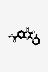 COC(=O)c1ccc2[nH]c(=O)c(N3CCCCC3C)nc2c1